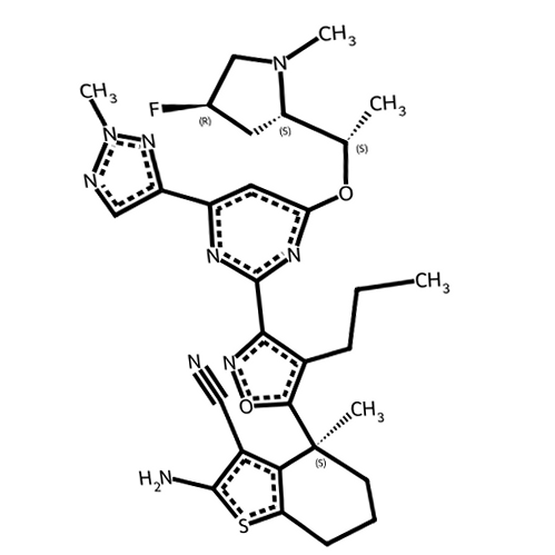 CCCc1c(-c2nc(O[C@@H](C)[C@@H]3C[C@@H](F)CN3C)cc(-c3cnn(C)n3)n2)noc1[C@@]1(C)CCCc2sc(N)c(C#N)c21